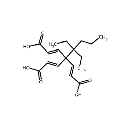 CCCC(CC)(CC)C(C=CC(=O)O)(C=CC(=O)O)C=CC(=O)O